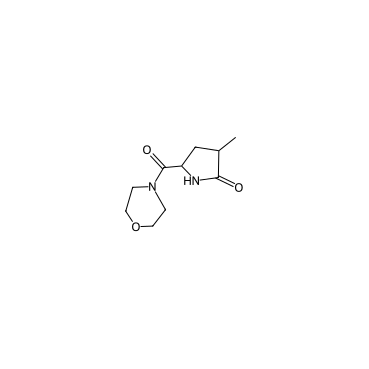 CC1CC(C(=O)N2CCOCC2)NC1=O